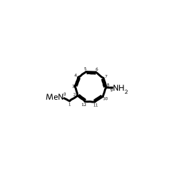 CNCc1cccccc(N)ccc1